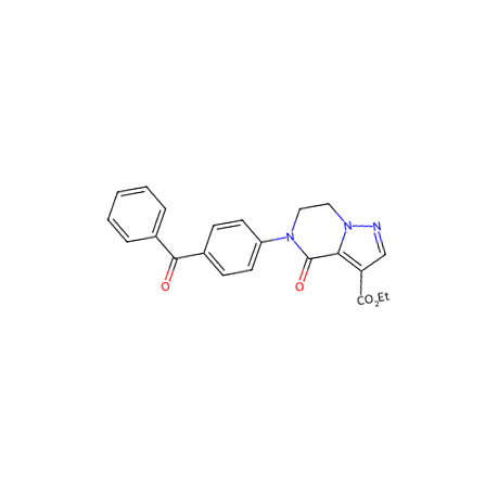 CCOC(=O)c1cnn2c1C(=O)N(c1ccc(C(=O)c3ccccc3)cc1)CC2